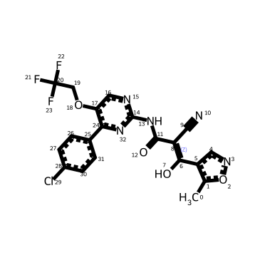 Cc1oncc1/C(O)=C(\C#N)C(=O)Nc1ncc(OCC(F)(F)F)c(-c2ccc(Cl)cc2)n1